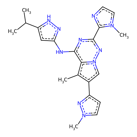 Cc1c(-c2ccn(C)n2)cn2nc(-c3nccn3C)nc(Nc3cc(C(C)C)[nH]n3)c12